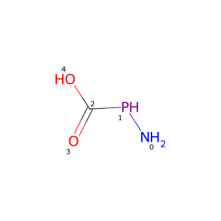 NPC(=O)O